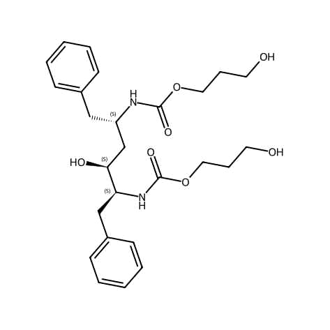 O=C(N[C@@H](Cc1ccccc1)C[C@H](O)[C@H](Cc1ccccc1)NC(=O)OCCCO)OCCCO